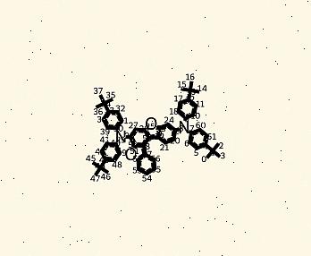 CC(C)(C)c1ccc(N(c2ccc(C(C)(C)C)cc2)c2ccc3c(c2)oc2cc(N(c4ccc(C(C)(C)C)cc4)c4ccc(C(C)(C)C)cc4)c4oc5ccccc5c4c23)cc1